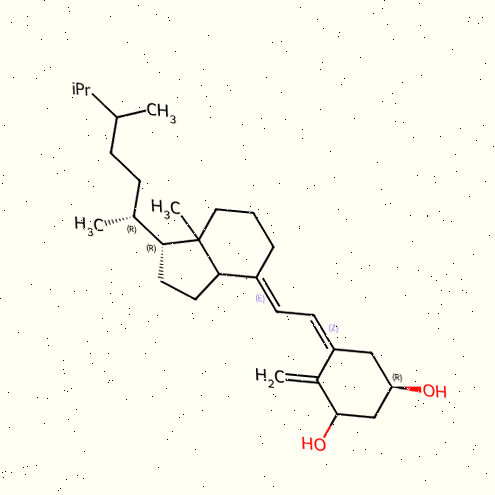 C=C1/C(=C\C=C2/CCCC3(C)C2CC[C@@H]3[C@H](C)CCC(C)C(C)C)C[C@@H](O)CC1O